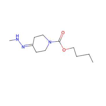 CCCCOC(=O)N1CCC(=NNC)CC1